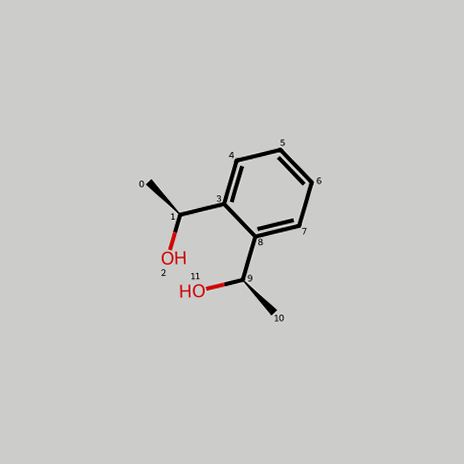 C[C@H](O)c1ccccc1[C@@H](C)O